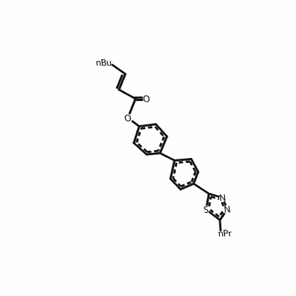 CCCC/C=C/C(=O)Oc1ccc(-c2ccc(-c3nnc(CCC)s3)cc2)cc1